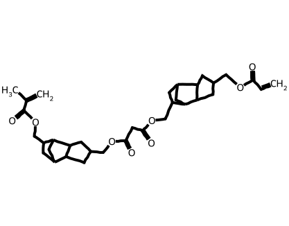 C=CC(=O)OCC1CC2C3CC(COC(=O)CC(=O)OCC4CC5C6CC(COC(=O)C(=C)C)C(C6)C5C4)C(C3)C2C1